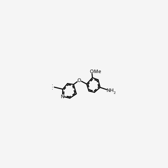 [C]c1cc(Oc2ccc(N)cc2OC)ccn1